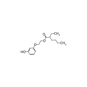 CCCCC(CC)C(=O)OCCOc1cccc(O)c1